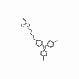 C=CC(=O)OCCCCCc1ccc(N(c2ccc(C)cc2)c2ccc(C)cc2)cc1